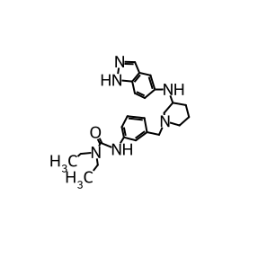 CCN(CC)C(=O)Nc1cccc(CN2CCCC(Nc3ccc4[nH]ncc4c3)C2)c1